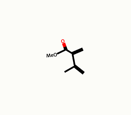 C=C(C)C(=C)C(=O)OC